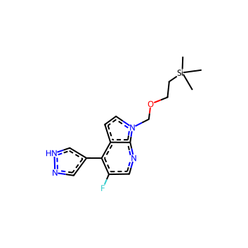 C[Si](C)(C)CCOCn1ccc2c(-c3cn[nH]c3)c(F)cnc21